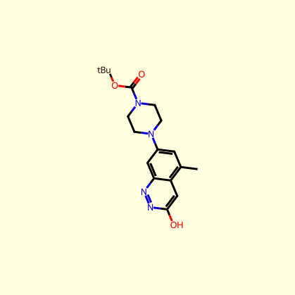 Cc1cc(N2CCN(C(=O)OC(C)(C)C)CC2)cc2nnc(O)cc12